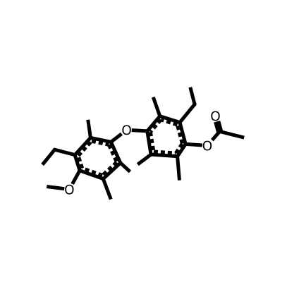 CCc1c(C)c(Oc2c(C)c(C)c(OC(C)=O)c(CC)c2C)c(C)c(C)c1OC